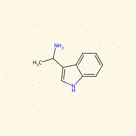 CC(N)c1c[nH]c2ccccc12